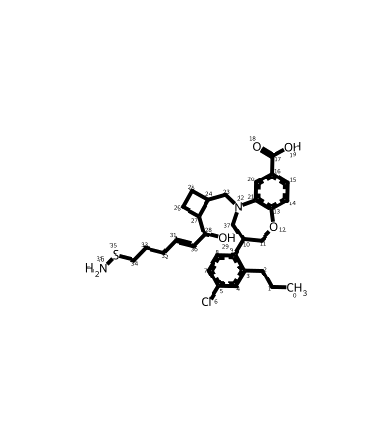 CCCc1cc(Cl)ccc1C1COc2ccc(C(=O)O)cc2N(CC2CCC2C(O)/C=C/CCCSN)C1